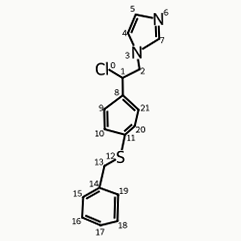 ClC(Cn1ccnc1)c1ccc(SCc2ccccc2)cc1